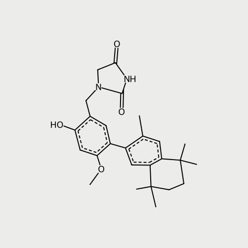 COc1cc(O)c(CN2CC(=O)NC2=O)cc1-c1cc2c(cc1C)C(C)(C)CCC2(C)C